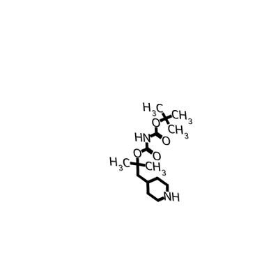 CC(C)(C)OC(=O)NC(=O)OC(C)(C)CC1CCNCC1